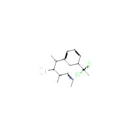 C/C=C\C(C)C(CC)C(C)C1=CC=CC(C(C)(F)F)C1